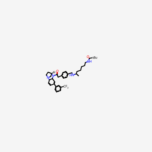 CCCCC(=O)NCCCCCC(C)NCc1ccc(CC(=O)N2C3C=C(c4cccc(C(F)(F)F)c4)C=CC3N3CC[C@H]2C3)cc1